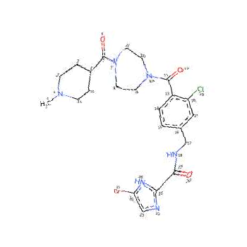 CN1CCC(C(=O)N2CCN(C(=O)c3ccc(CNC(=O)c4ncc(Br)[nH]4)cc3Cl)CC2)CC1